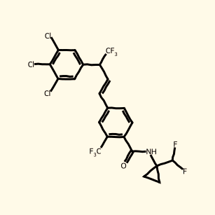 O=C(NC1(C(F)F)CC1)c1ccc(/C=C/C(c2cc(Cl)c(Cl)c(Cl)c2)C(F)(F)F)cc1C(F)(F)F